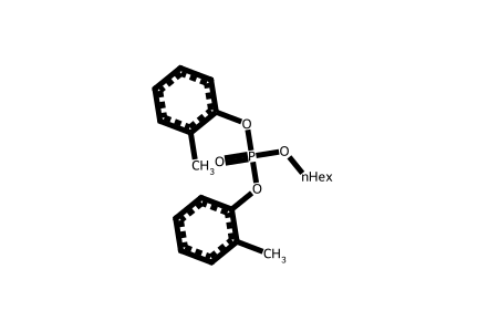 CCCCCCOP(=O)(Oc1ccccc1C)Oc1ccccc1C